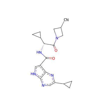 N#CC1CN(C(=O)[C@H](NC(=O)c2c[nH]c3ncc(C4CC4)nc23)C2CC2)C1